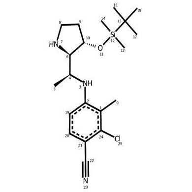 Cc1c(N[C@@H](C)[C@H]2NCC[C@@H]2O[Si](C)(C)C(C)(C)C)ccc(C#N)c1Cl